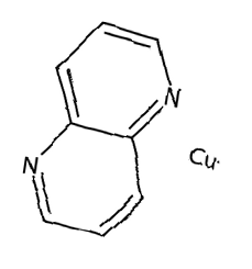 [Cu].c1cnc2cccnc2c1